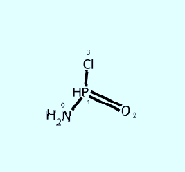 N[PH](=O)Cl